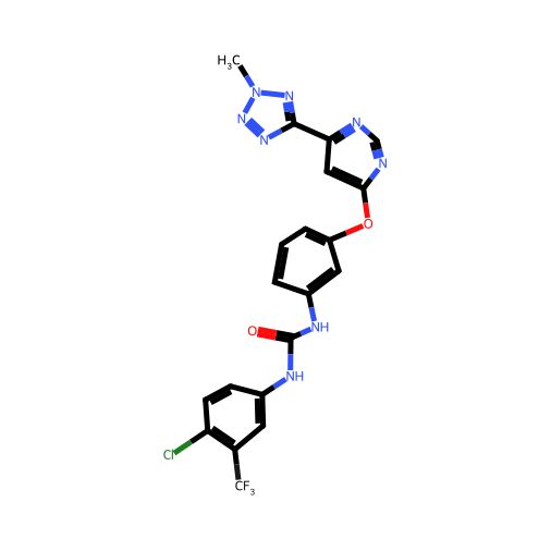 Cn1nnc(-c2cc(Oc3cccc(NC(=O)Nc4ccc(Cl)c(C(F)(F)F)c4)c3)ncn2)n1